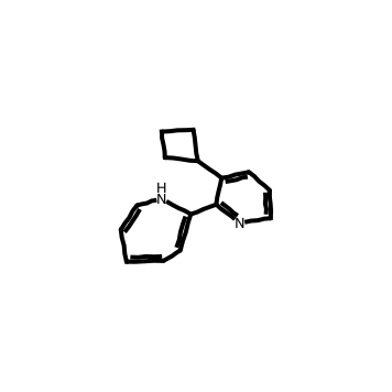 C1=CC=C(c2ncccc2C2CCC2)NC=C1